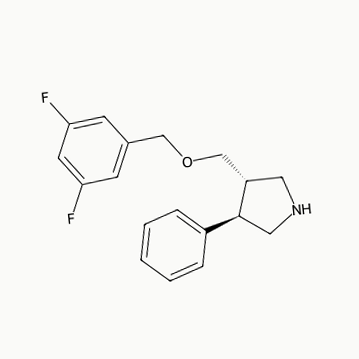 Fc1cc(F)cc(COC[C@@H]2CNC[C@H]2c2ccccc2)c1